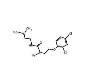 CC(C)N(CCOc1ccc(Cl)cc1Cl)C(=O)NCCN(C)C